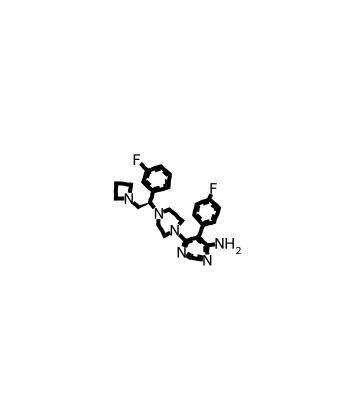 Nc1ncnc(N2CCN([C@@H](CN3CCC3)c3cccc(F)c3)CC2)c1-c1ccc(F)cc1